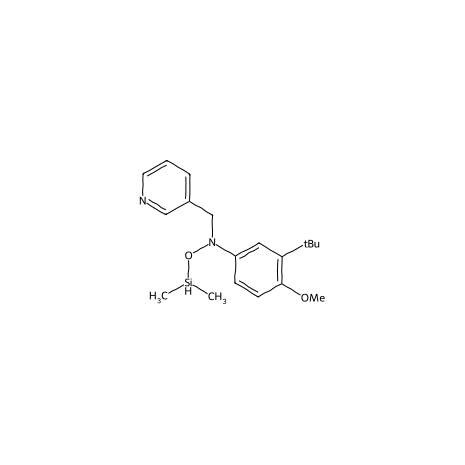 COc1ccc(N(Cc2cccnc2)O[SiH](C)C)cc1C(C)(C)C